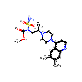 COc1cc2nccc(N3CCN(C(C)CN(C(=O)OC(C)(C)C)S(N)(=O)=O)CC3)c2cc1OC